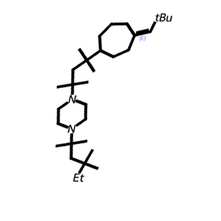 CCC(C)(C)CC(C)(C)N1CCN(C(C)(C)CC(C)(C)C2CCC/C(=C\C(C)(C)C)CC2)CC1